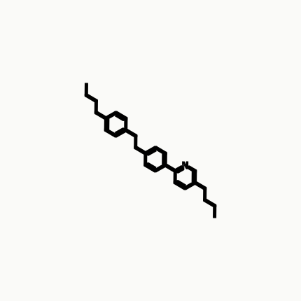 CCCCc1ccc(CCc2ccc(-c3ccc(CCCC)cn3)cc2)cc1